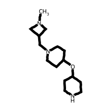 CN1CC(CN2CCC(OC3CCNCC3)CC2)C1